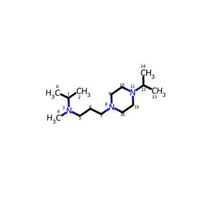 CC(C)N(C)CCCN1CCN(C(C)C)CC1